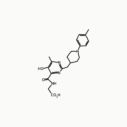 Cc1ccc(N2CCC(Cc3nc(C)c(O)c(C(=O)NCC(=O)O)n3)CC2)cc1